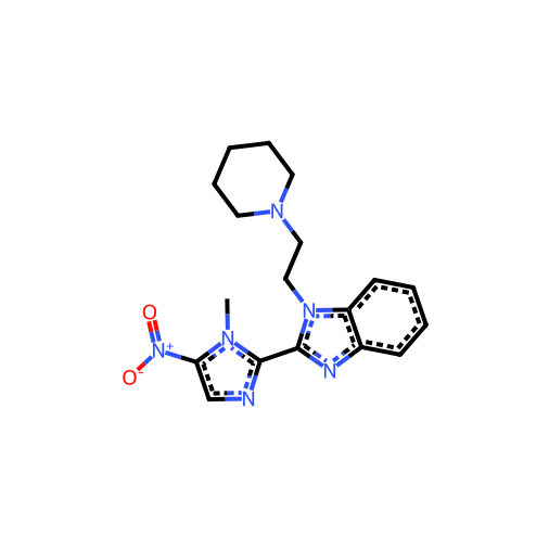 Cn1c([N+](=O)[O-])cnc1-c1nc2ccccc2n1CCN1CCCCC1